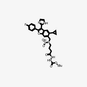 CC(C)(C)OC(=O)NNC(=O)CCCN(Cc1cc2oc(-c3ccc(F)cc3)c(-c3ncc[nH]3)c2cc1C1CC1)[SH](=O)=O